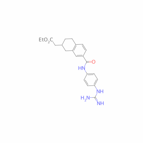 CCOC(=O)CC1CCc2ccc(C(=O)Nc3ccc(NC(=N)N)cc3)cc2C1